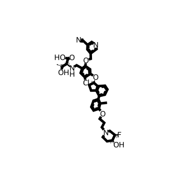 Cc1c(OCCCN2CC[C@@H](O)[C@H](F)C2)cccc1-c1cccc2c1CC[C@@H]2Oc1cc(OCc2cncc(C#N)c2)c(CN[C@H](C(=O)O)[C@@H](C)O)cc1Cl